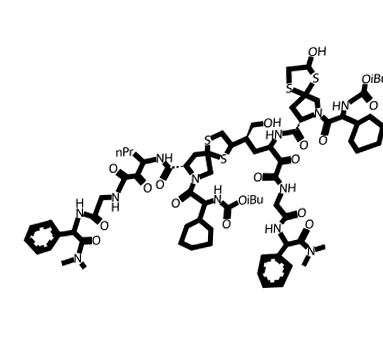 CCCC(NC(=O)[C@@H]1CC2(CN1C(=O)C(NC(=O)OCC(C)C)C1CCCCC1)SCC([C@@H](CO)CC(NC(=O)[C@@H]1CC3(CN1C(=O)C(NC(=O)OCC(C)C)C1CCCCC1)SCC(O)S3)C(=O)C(=O)NCC(=O)NC(C(=O)N(C)C)c1ccccc1)S2)C(=O)C(=O)NCC(=O)NC(C(=O)N(C)C)c1ccccc1